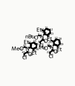 CCCCOCN(C(=O)CCl)c1c(CC)cccc1CC.CCOCN(C(=O)CCl)c1c(C)cccc1CC.CCc1cccc(CC)c1N(COC)C(=O)CCl